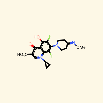 CON=C1CCN(c2c(F)c(O)c3c(=O)c(C(=O)O)cn(C4CC4)c3c2F)CC1